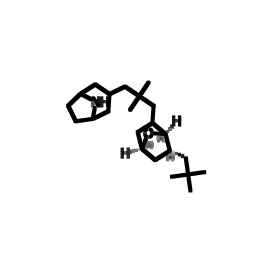 CC(C)(C)C[C@@H]1C[C@H]2CC(CC(C)(C)CC3CC4CCC(C3)N4)[C@@H]1O2